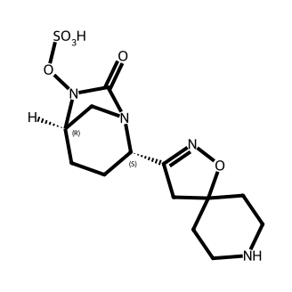 O=C1N2C[C@@H](CC[C@H]2C2=NOC3(CCNCC3)C2)N1OS(=O)(=O)O